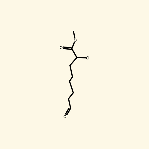 COC(=O)C(Cl)CCCCCC=O